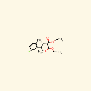 CCOC(=O)C(CC(C)c1cc(F)ccc1C)C(=O)OCC